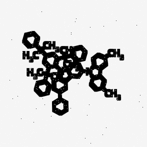 Cc1ccc2c(c1)c1cc(C)ccc1n2-c1ccc2c(c1)c1cc(-c3ccccc3)ccc1n2-c1c(C(C)(C)c2ccccc2)cc(C(C)(C)c2ccccc2)cc1C(C)(C)c1ccccc1